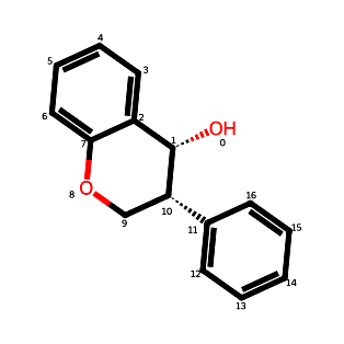 O[C@H]1c2ccccc2OC[C@H]1c1ccccc1